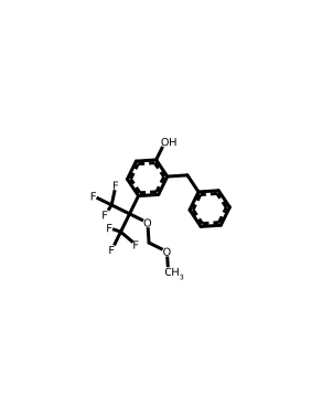 COCOC(c1ccc(O)c(Cc2ccccc2)c1)(C(F)(F)F)C(F)(F)F